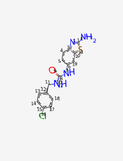 Nc1nc2ccc(NC(=O)NCc3ccc(Cl)cc3)cc2s1